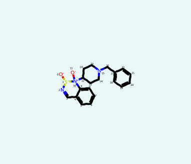 [O-][S+]1N=Cc2ccccc2[N+]1([O-])C1CCN(Cc2ccccc2)CC1